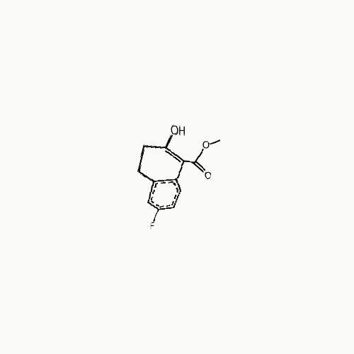 COC(=O)C1=C(O)CCc2cc(F)ccc21